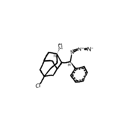 [N-]=[N+]=N[C@@H](c1ccccc1)C1C2CC3CC(Cl)(C2)C[C@@]1(Cl)C3